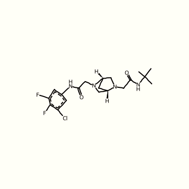 CC(C)(C)NC(=O)CN1C[C@@H]2C[C@H]1CN2CC(=O)Nc1cc(F)c(F)c(Cl)c1